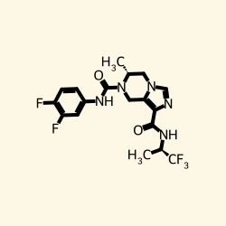 C[C@@H]1Cn2cnc(C(=O)N[C@H](C)C(F)(F)F)c2CN1C(=O)Nc1ccc(F)c(F)c1